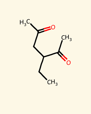 CCC(CC(C)=O)C(C)=O